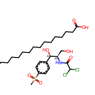 CCCCCCCCCCCCCCCC(=O)O.CS(=O)(=O)c1ccc([C@@H](O)[C@@H](CO)NC(=O)C(Cl)Cl)cc1